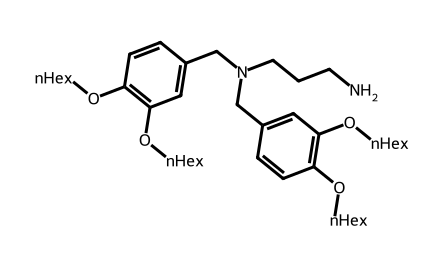 CCCCCCOc1ccc(CN(CCCN)Cc2ccc(OCCCCCC)c(OCCCCCC)c2)cc1OCCCCCC